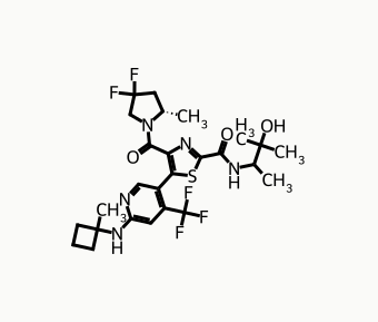 CC(NC(=O)c1nc(C(=O)N2CC(F)(F)C[C@@H]2C)c(-c2cnc(NC3(C)CCC3)cc2C(F)(F)F)s1)C(C)(C)O